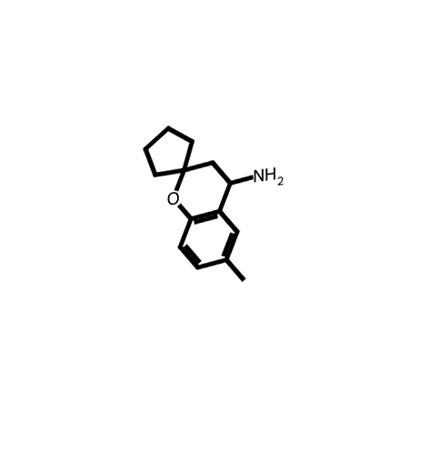 Cc1ccc2c(c1)C(N)CC1(CCCC1)O2